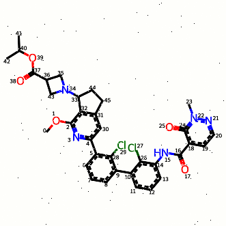 COc1nc(-c2cccc(-c3cccc(NC(=O)c4ccnn(C)c4=O)c3Cl)c2Cl)cc2c1C(N1CC(C(=O)OC(C)C)C1)CC2